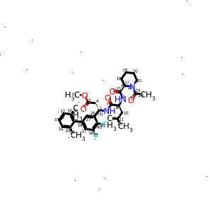 COC(=O)C[C@H](NC(=O)[C@H](CC(C)C)NC(=O)[C@H]1CCCCN1C(C)=O)c1cc(-c2c(C)cccc2C)cc(F)c1F